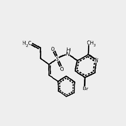 C=CCC(=Cc1ccccc1)S(=O)(=O)Nc1cc(Br)cnc1C